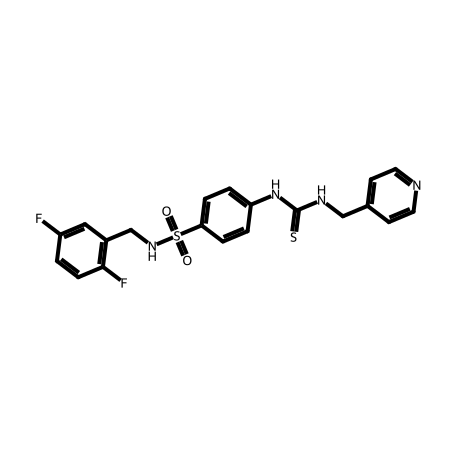 O=S(=O)(NCc1cc(F)ccc1F)c1ccc(NC(=S)NCc2ccncc2)cc1